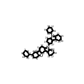 c1ccc(-c2ccc3oc4c(ccc5c4c4cccnc4n5-c4ccc5c(c4)c4ccccc4n5-c4ccccc4)c3c2)cc1